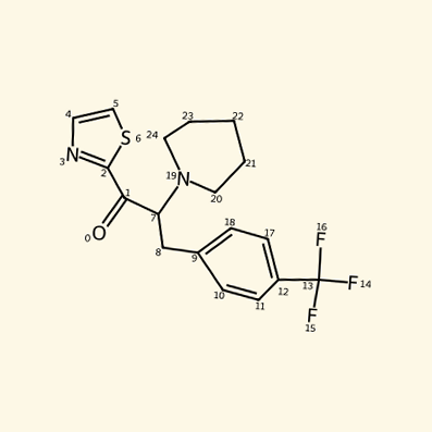 O=C(c1nccs1)C(Cc1ccc(C(F)(F)F)cc1)N1CCCCC1